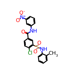 Cc1ccccc1NS(=O)(=O)c1cc(C(=O)Nc2cccc([N+](=O)[O-])c2)ccc1Cl